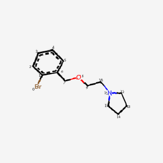 Brc1ccccc1COCCN1CCCC1